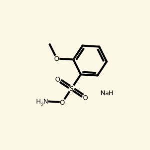 COc1ccccc1S(=O)(=O)ON.[NaH]